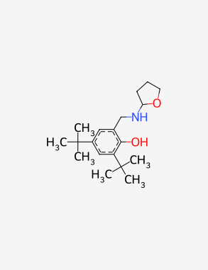 CC(C)(C)c1cc(CNC2CCCO2)c(O)c(C(C)(C)C)c1